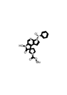 CC(C)(C)OC(=O)N1CCC2(C1)C(=O)N(O)c1cnc3c(ccn3[S+]([O-])c3ccccc3)c12